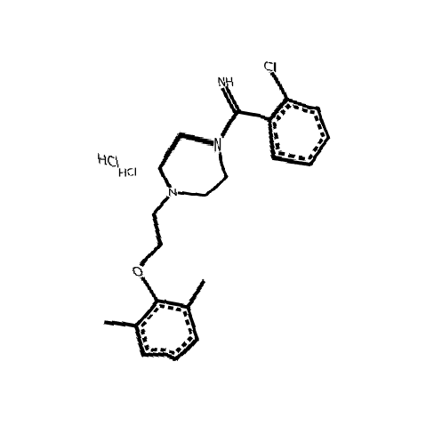 Cc1cccc(C)c1OCCN1CCN(C(=N)c2ccccc2Cl)CC1.Cl.Cl